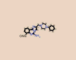 COc1cccc2c1nc(N)n1cc(CN3CCN(c4ccccc4)CC3)nc21